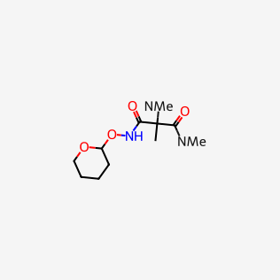 CNC(=O)C(C)(NC)C(=O)NOC1CCCCO1